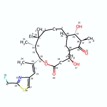 CC[C@@]1(C)CCC[C@@H]2C[C@@](C)(C(=O)[C@H](C)[C@H]2O)[C@@H](O)CC(=O)O[C@H](/C(C)=C/c2csc(CF)n2)C[C@@H]1C